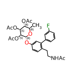 CC(=O)NCCc1ccc(O[C@H]2O[C@H](C)[C@@H](OC(C)=O)[C@H](OC(C)=O)[C@@H]2OC(C)=O)cc1-c1cccc(F)c1